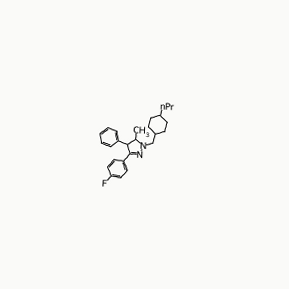 CCCC1CCC(CN2N=C(c3ccc(F)cc3)C(c3ccccc3)C2C)CC1